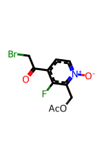 CC(=O)OCc1c(F)c(C(=O)CBr)cc[n+]1[O-]